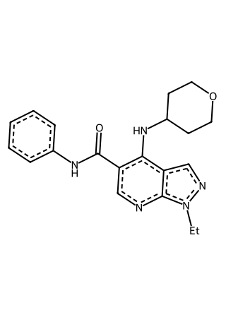 CCn1ncc2c(NC3CCOCC3)c(C(=O)Nc3ccccc3)cnc21